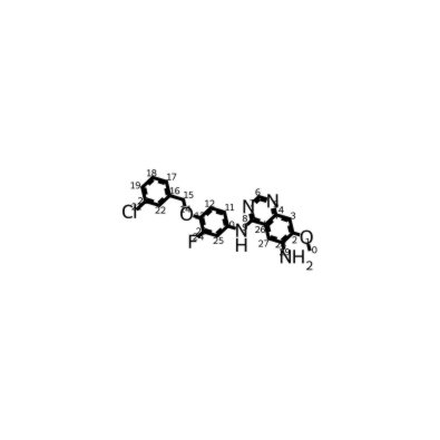 COc1cc2ncnc(Nc3ccc(OCc4cccc(Cl)c4)c(F)c3)c2cc1N